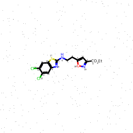 CCOC(=O)c1cc(CCNc2nc3cc(Cl)c(Cl)cc3s2)on1